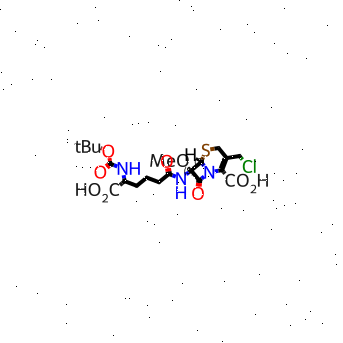 CO[C@@]1(NC(=O)CCCC(NC(=O)OC(C)(C)C)C(=O)O)C(=O)N2C(C(=O)O)=C(CCl)CS[C@H]21